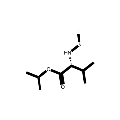 CC(C)OC(=O)[C@H](NSI)C(C)C